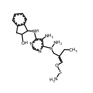 CC/C(=C/OSN)CN(N)c1ncnc(NC2c3ccccc3CC2O)c1N